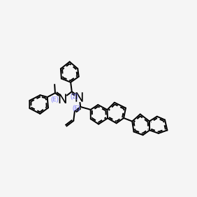 C=C/C=C(/N=C(\N=C(/C)c1ccccc1)c1ccccc1)c1ccc2cc(-c3ccc4ccccc4c3)ccc2c1